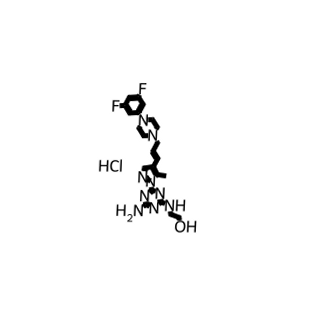 Cc1c(/C=C/CN2CCN(c3cc(F)cc(F)c3)CC2)cnn1-c1nc(N)nc(NCCO)n1.Cl